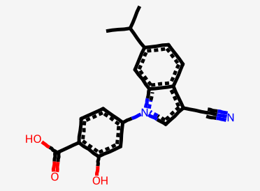 CC(C)c1ccc2c(C#N)cn(-c3ccc(C(=O)O)c(O)c3)c2c1